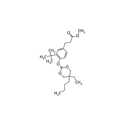 CCCCC1(CC)COP(Oc2ccc(CCC(=O)OC)cc2C(C)(C)C)OC1